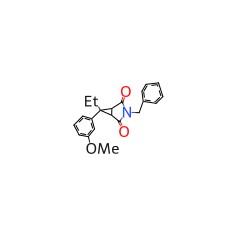 CCC1(c2cccc(OC)c2)C2C(=O)N(Cc3ccccc3)C(=O)C21